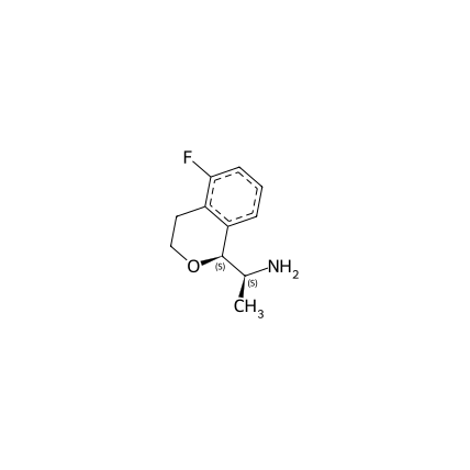 C[C@H](N)[C@H]1OCCc2c(F)cccc21